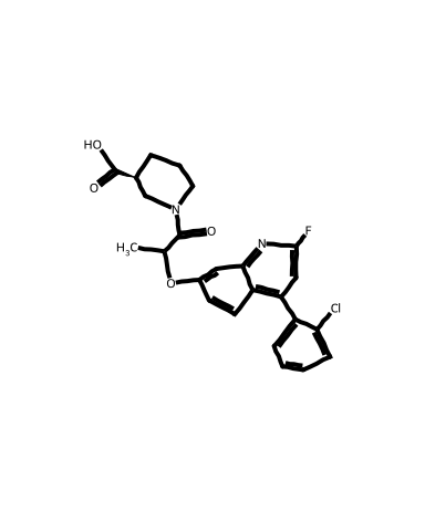 CC(Oc1ccc2c(-c3ccccc3Cl)cc(F)nc2c1)C(=O)N1CCC[C@H](C(=O)O)C1